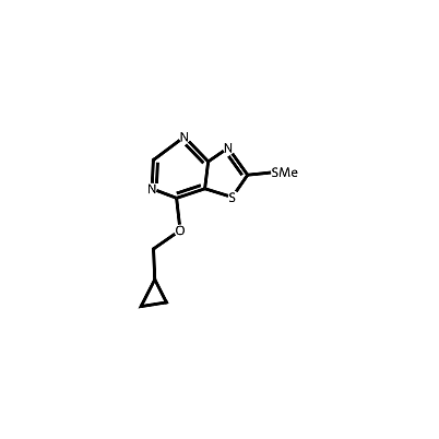 CSc1nc2ncnc(OCC3CC3)c2s1